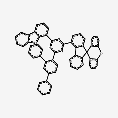 c1ccc(-c2ccc(-c3nc(-c4cccc5c4-c4ccccc4C54c5ccccc5Oc5ccccc54)nc(-c4cccc5c4sc4ccccc45)n3)c(-c3ccccc3)c2)cc1